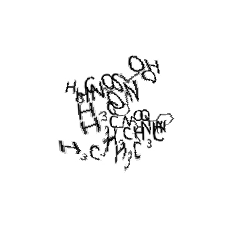 CCCCCCN(C(=O)[C@@H](NC(=O)[C@H]1CCCCN1C)[C@@H](C)CC)[C@H](C[C@@H](OC(=O)NC)c1nc(C(=O)O)cs1)C(C)C